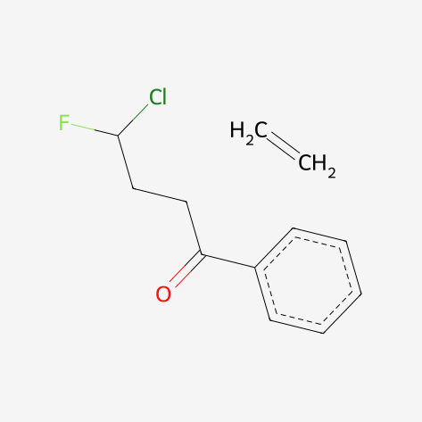 C=C.O=C(CCC(F)Cl)c1ccccc1